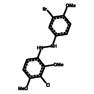 COc1ccc(NNc2ccc(OC)c(Cl)c2OC)cc1Br